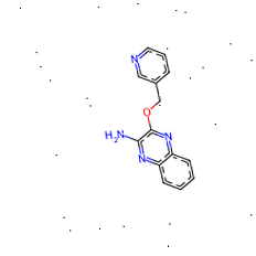 Nc1nc2ccccc2nc1OCc1cccnc1